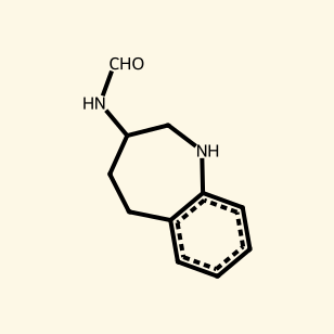 O=CNC1CCc2ccccc2NC1